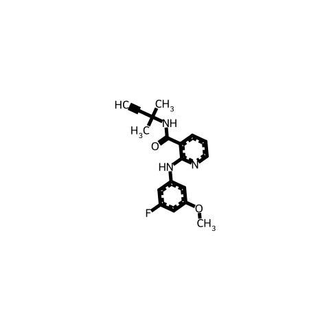 C#CC(C)(C)NC(=O)c1cccnc1Nc1cc(F)cc(OC)c1